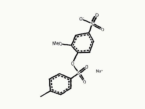 COc1cc(S(=O)(=O)[O-])ccc1OS(=O)(=O)c1ccc(C)cc1.[Na+]